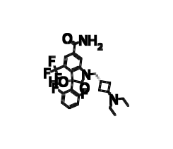 CCN(CC)[C@H]1C[C@H](CN2C(=O)C(O)(c3c(F)cccc3F)c3c2cc(C(N)=O)cc3C(F)(F)F)C1